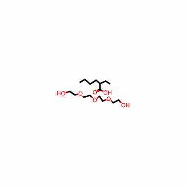 CCCCC(CC)C(=O)O.OCCOCCOCCOCCO